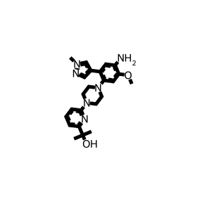 COc1cc(N2CCN(c3cccc(C(C)(C)O)n3)CC2)c(-c2cnn(C)c2)cc1N